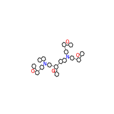 c1ccc2c(N(c3ccc(-c4cc(-c5ccc6cc(N(c7ccc(-c8cccc9c8oc8ccccc89)cc7)c7ccc(-c8cccc9oc%10ccccc%10c89)cc7)ccc6c5)cc5c4oc4ccccc45)cc3)c3ccc(-c4cccc5oc6ccccc6c45)cc3)cccc2c1